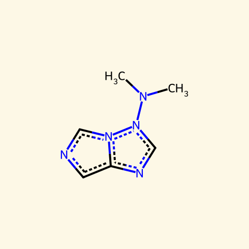 CN(C)n1cnc2cncn21